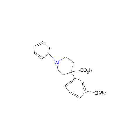 COc1cccc(C2(C(=O)O)CCN(c3ccccc3)CC2)c1